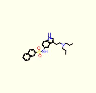 CCCN(CCC)CCc1c[nH]c2ccc(NS(=O)(=O)c3ccc4ccccc4c3)cc12